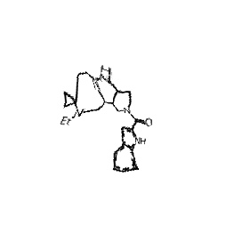 CCN1CC2C3CN(C(=O)c4cc5ccccc5[nH]4)CCC3NN2CCC12CC2